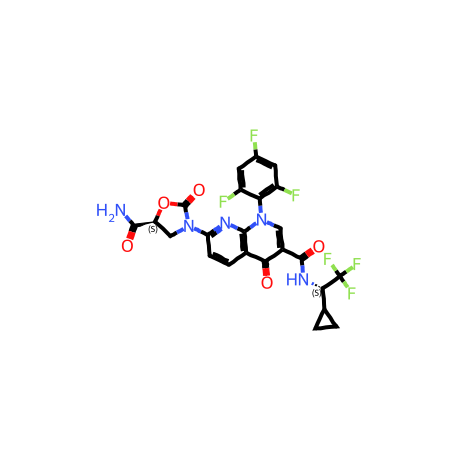 NC(=O)[C@@H]1CN(c2ccc3c(=O)c(C(=O)N[C@@H](C4CC4)C(F)(F)F)cn(-c4c(F)cc(F)cc4F)c3n2)C(=O)O1